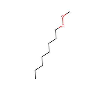 CCCCCCCCOOC